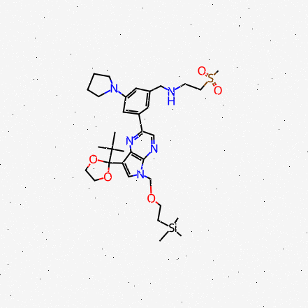 CC(C)(C)C1(c2cn(COCC[Si](C)(C)C)c3ncc(-c4cc(CNCCS(C)(=O)=O)cc(N5CCCC5)c4)nc23)OCCO1